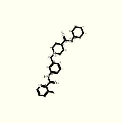 Cc1cccnc1C(=O)Nc1cccc(CN2CCC(C(=O)NC3CCCCC3)CC2)c1